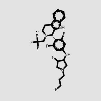 C[C@@H]1Cc2c([nH]c3ccccc23)[C@H](c2c(F)cc(NC3CN(CCCF)CC3F)cc2F)N1CC(F)(F)F